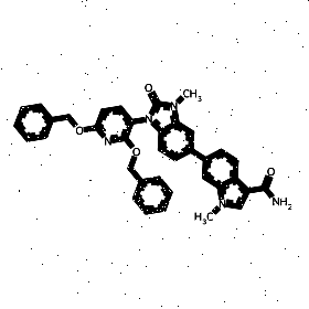 Cn1cc(C(N)=O)c2ccc(-c3ccc4c(c3)n(C)c(=O)n4-c3ccc(OCc4ccccc4)nc3OCc3ccccc3)cc21